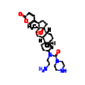 C[C@]12CC[C@H](N(CCN)C(=O)N3CCNCC3)C[C@H]1CC[C@@H]1[C@@H]2CC[C@]2(C)[C@@H](c3ccc(=O)oc3)CC[C@]12O